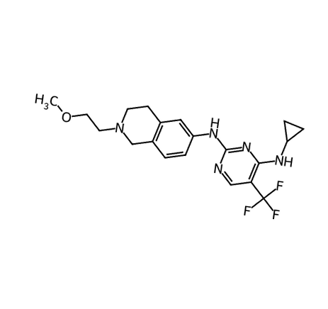 COCCN1CCc2cc(Nc3ncc(C(F)(F)F)c(NC4CC4)n3)ccc2C1